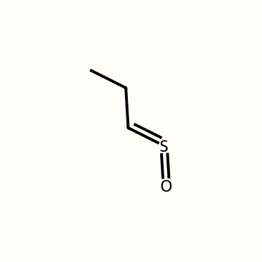 CCC=S=O